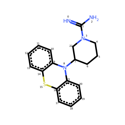 N=C(N)N1CCCC(N2c3ccccc3Sc3ccccc32)C1